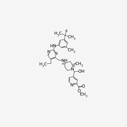 CCc1cnc(Nc2cc(C)cc(C(C)(C)F)c2)nc1CN[C@@H]1CCN(C(O)c2ccnc(C(=O)OC)c2)[C@H](C)C1